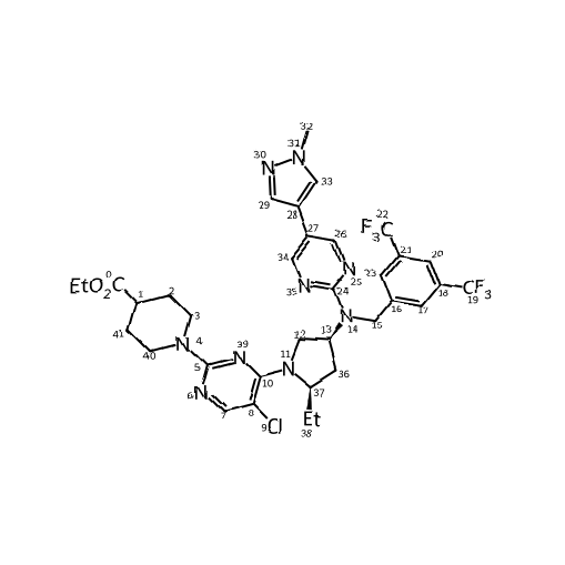 CCOC(=O)C1CCN(c2ncc(Cl)c(N3C[C@@H](N(Cc4cc(C(F)(F)F)cc(C(F)(F)F)c4)c4ncc(-c5cnn(C)c5)cn4)C[C@H]3CC)n2)CC1